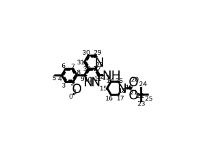 COc1cc(C)ccc1-c1nnc(N[C@@H]2CCCN(C(=O)OC(C)(C)C)C2)c2ncccc12